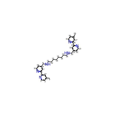 Cc1ccnc(-c2cc(CNCCCCCCCCNCc3ccnc(-c4cc(C)ccn4)c3)ccn2)c1